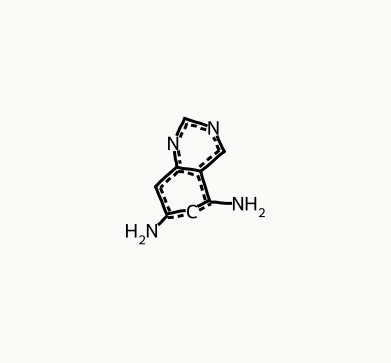 Nc1cc(N)c2cncnc2c1